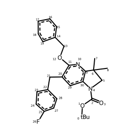 CC(C)(C)OC(=O)N1CC(C)(C)c2nc(OCc3ccccc3)c(Cc3ccc(F)cc3)cc21